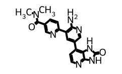 CN(C)C(=O)c1ccc(-c2cc(-c3ccnc4[nH]c(=O)[nH]c34)cnc2N)nc1